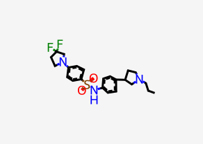 CCCN1CCC(c2ccc(NS(=O)(=O)c3ccc(N4CCC(F)(F)C4)cc3)cc2)C1